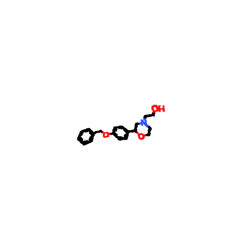 OCCN1CCOC(c2ccc(OCc3ccccc3)cc2)C1